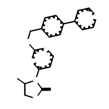 CC(C)C1COC(=O)N1c1ccnc(N[C@H](C)c2ccc(-c3ccncc3)cc2)n1